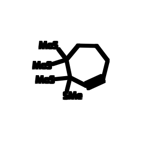 CSC1(SC)C#CCCCC1(SC)SC